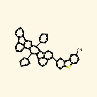 N#Cc1ccc2sc3ccc(-c4ccc5c6c(-c7ccccc7)c7cc8c9ccccc9c9cccc(c7c(-c7ccccc7)c6c6cccc4c56)c98)cc3c2c1